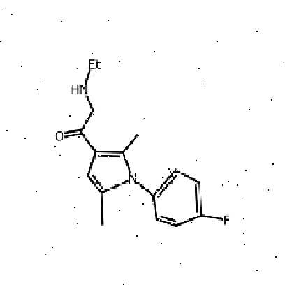 CCNCC(=O)c1cc(C)n(-c2ccc(F)cc2)c1C